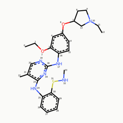 CCOc1cc(OC2CCN(CC)C2)ccc1Nc1ncc(C)c(Nc2ccccc2SNC)n1